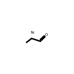 CCC=O.[Ni]